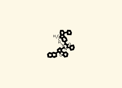 CC1(C)c2cc(-c3nc(-c4ccc(-c5ccc6ccccc6c5)c5oc6ccccc6c45)nc4c3oc3ccccc34)ccc2-c2c(-c3ccccc3)cccc21